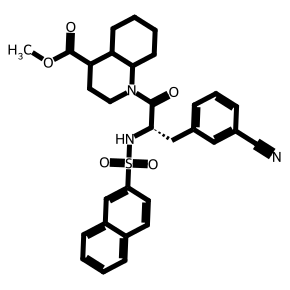 COC(=O)C1CCN(C(=O)[C@H](Cc2cccc(C#N)c2)NS(=O)(=O)c2ccc3ccccc3c2)C2CCCCC12